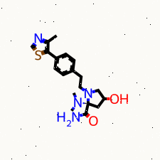 Cc1ncsc1-c1ccc(CCN2CC(O)C[C@]2(C(N)=O)N(C)C)cc1